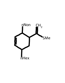 C=C(SC)C1CC(CCCCCC)C=CC1CCCCCCCCC